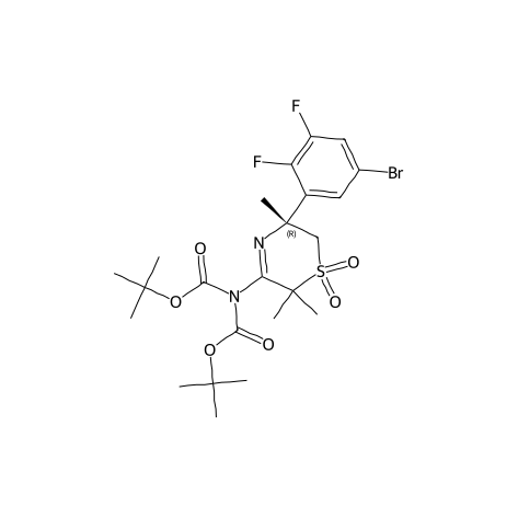 CC(C)(C)OC(=O)N(C(=O)OC(C)(C)C)C1=N[C@](C)(c2cc(Br)cc(F)c2F)CS(=O)(=O)C1(C)C